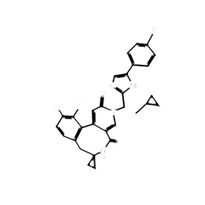 O=C1NC2(CC2)Cc2ccc(Cl)c(F)c2-c2cc(=O)n([C@@H](CC3CC3)c3ncc(-c4ccc(F)cc4)[nH]3)cc21